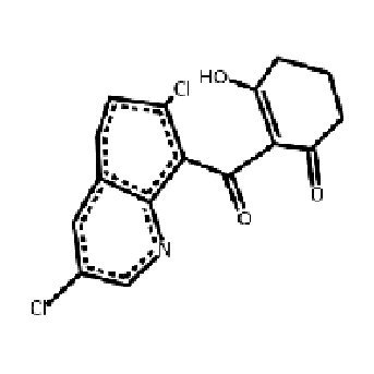 O=C1CCCC(O)=C1C(=O)c1c(Cl)ccc2cc(Cl)cnc12